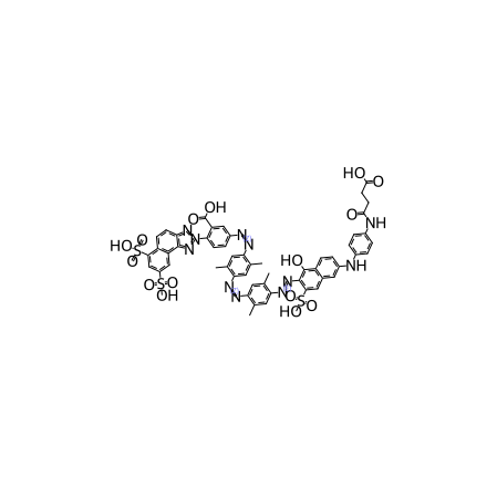 Cc1cc(/N=N\c2cc(C)c(/N=N/c3c(S(=O)(=O)O)cc4cc(Nc5ccc(NC(=O)CCC(=O)O)cc5)ccc4c3O)cc2C)c(C)cc1/N=N\c1ccc(-n2nc3ccc4c(S(=O)(=O)O)cc(S(=O)(=O)O)cc4c3n2)c(C(=O)O)c1